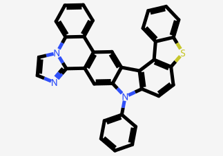 c1ccc(-n2c3cc4c(cc3c3c5c(ccc32)sc2ccccc25)c2ccccc2n2ccnc42)cc1